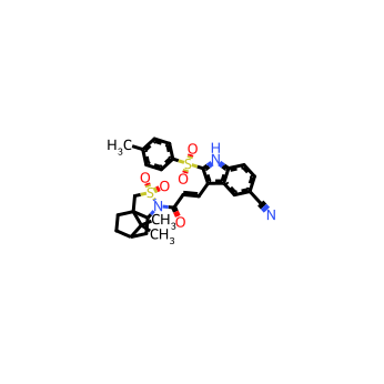 Cc1ccc(S(=O)(=O)c2[nH]c3ccc(C#N)cc3c2/C=C/C(=O)N2C3CC4CCC3(CS2(=O)=O)C4(C)C)cc1